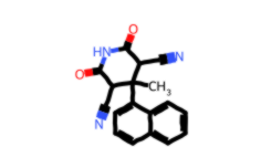 CC1(c2cccc3ccccc23)C(C#N)C(=O)NC(=O)C1C#N